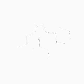 COc1cc(Br)cc2ncn(C3CCCCC3)c12